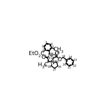 CCOC(=O)c1cccc(C)c1NC(=O)C(C)[N+]1(CC(=O)OCc2ccccc2)CCCC1